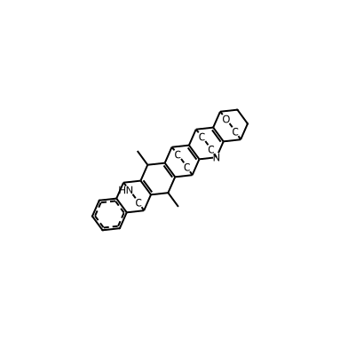 CC1C2=C(C(C)C3=C1C1CNC3c3ccccc31)C1CCC2C2=C1C1CCN2C2=C1C1CCC2CO1